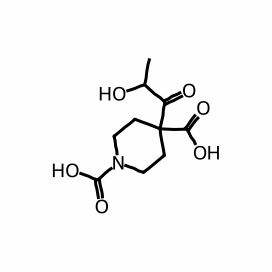 CC(O)C(=O)C1(C(=O)O)CCN(C(=O)O)CC1